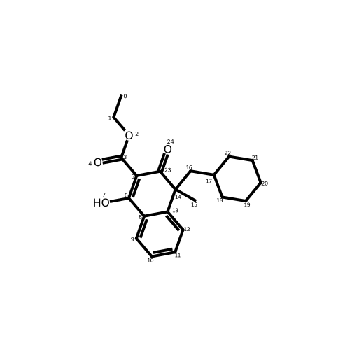 CCOC(=O)C1=C(O)c2ccccc2C(C)(CC2CCCCC2)C1=O